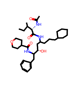 CCC(C)[C@H](NC(C)=O)C(=O)NC(CCCC1CCCCC1)C[C@H](O)C(Cc1ccccc1)NC(=O)C1CCOCC1